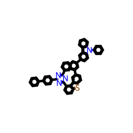 c1ccc(-c2ccc(-c3nc(-c4ccccc4)nc(-c4cccc5sc6ccc(-c7cccc(-c8ccc9c(c8)c8ccccc8n9-c8ccccc8)c7)cc6c45)n3)cc2)cc1